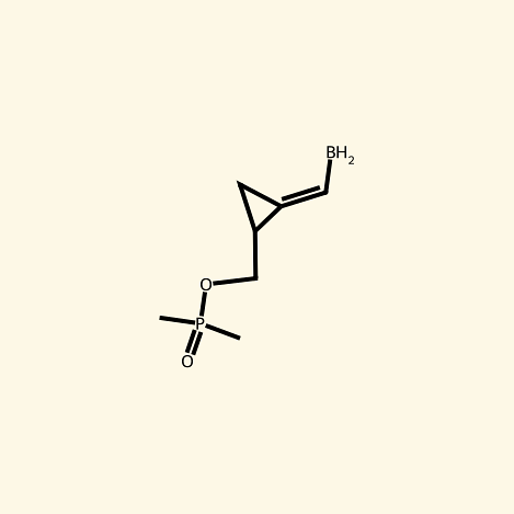 B/C=C1\CC1COP(C)(C)=O